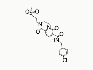 CS(=O)(=O)CCCN1CCn2c(ccc(C(=O)NCc3ccc(Cl)cc3)c2=O)C1=O